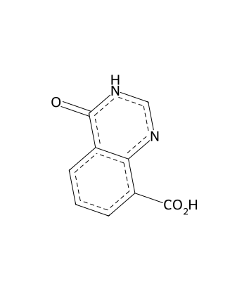 O=C(O)c1cccc2c(=O)[nH]cnc12